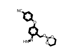 N#Cc1ccc(Oc2ccc(N=N)c(COB3OCCCO3)c2)cc1